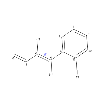 C=C/C(C)=C(\C)c1ccccc1I